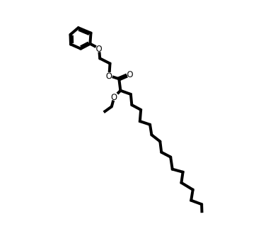 CCCCCCCCCCCCCCCCC(OCC)C(=O)OCCOc1ccccc1